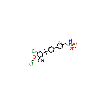 CC(C)(c1ccc(-c2ccc(CCNS(C)(=O)=O)nc2)cc1)c1cc(Cl)c(OCCCl)c(C#N)c1